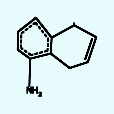 Nc1cccc2c1CC=C[CH]2